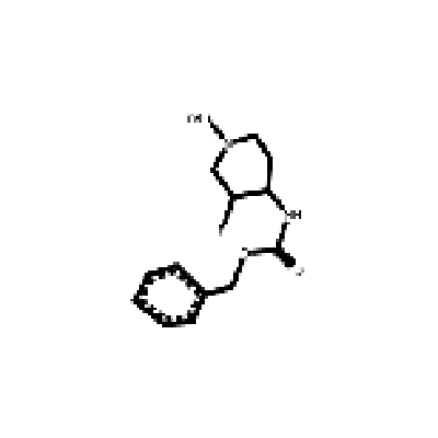 CCCCN1CCC(NC(=O)OCc2ccccc2)C(F)C1